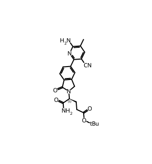 Cc1cc(C#N)c(-c2ccc3c(c2)CN([C@@H](CCC(=O)OC(C)(C)C)C(N)=O)C3=O)nc1N